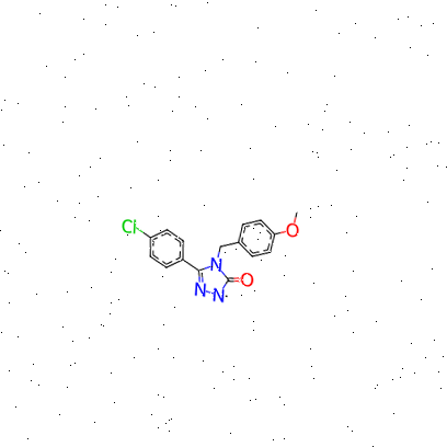 COc1ccc(CN2C(=O)[N]N=C2c2ccc(Cl)cc2)cc1